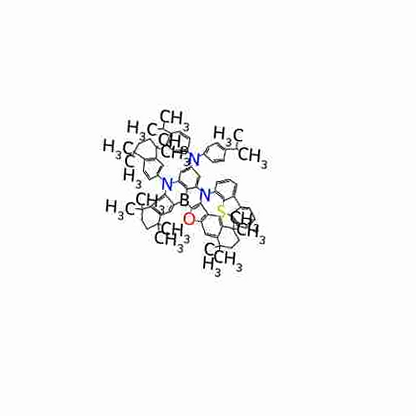 CC(C)c1ccc(N(c2ccc(C(C)C)cc2)c2cc3c4c(c2)N(c2cccc5c2sc2ccccc25)c2c(oc5cc6c(cc25)C(C)(C)CCC6(C)C)B4c2cc4c(cc2N3c2ccc3c(c2)C(C)(C)CCC3(C)C)C(C)(C)CCC4(C)C)cc1